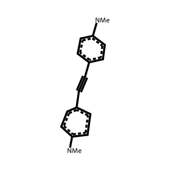 CNc1ccc(C#Cc2ccc(NC)cc2)cc1